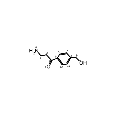 NCCC(=O)c1ccc(CO)cc1